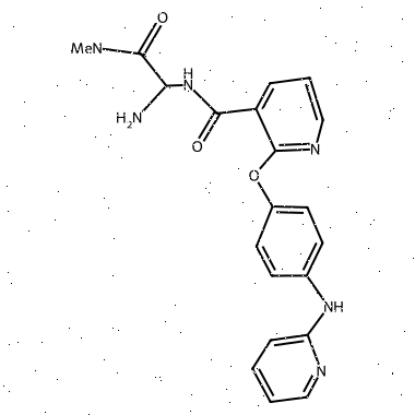 CNC(=O)C(N)NC(=O)c1cccnc1Oc1ccc(Nc2ccccn2)cc1